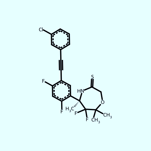 CC1(C)OCC(=S)N[C@](C)(c2cc(C#Cc3cccc(Cl)c3)c(F)cc2F)C1(F)F